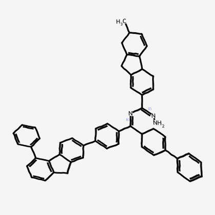 CC1C=CC2=C(CC3=CC(C(=N/N)/N=C(/c4ccc(-c5ccc6c(c5)Cc5cccc(-c7ccccc7)c5-6)cc4)C4C=CC(c5ccccc5)=CC4)=CCC32)C1